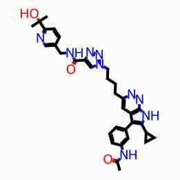 CC(=O)Nc1cccc(-c2c(C3CC3)[nH]c3nnc(CCCCn4cc(C(=O)NCc5ccc(C(C)(C)O)nc5)nn4)cc23)c1